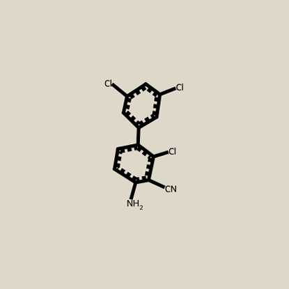 N#Cc1c(N)ccc(-c2cc(Cl)cc(Cl)c2)c1Cl